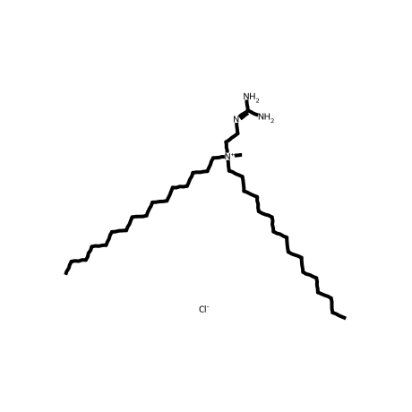 CCCCCCCCCCCCCCCC[N+](C)(CCCCCCCCCCCCCCCC)CCN=C(N)N.[Cl-]